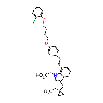 O=C(O)Cn1cc(CC2(CC(=O)O)CC2)c2cccc(C=Cc3ccc(OCCCCOc4ccccc4Cl)cc3)c21